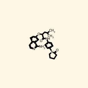 CC(C)CC(Oc1ccc2ccnc(N)c2c1)C(=O)Nc1ccc(N2CCCCC2=O)cc1